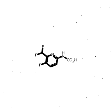 O=C(O)Nc1ccc(F)c(C(F)F)n1